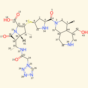 C[C@@H]1CN(C(=O)[C@@H]2C[C@H](SC3=C(C(=O)O)N4C(=O)[C@H]([C@@H](C)NC(=O)Cn5cnnn5)[C@H]4[C@H]3C)CN2)CC2CCNCC(CO)C21